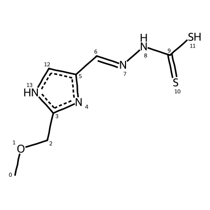 COCc1nc(C=NNC(=S)S)c[nH]1